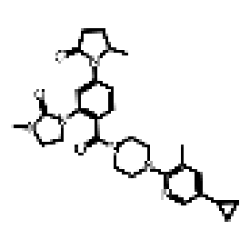 Cc1cc(C2CC2)cnc1N1CCN(C(=O)c2ccc(N3C(=O)CCC3C)cc2N2CCN(C)C2=O)CC1